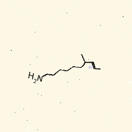 C/C=C/C(C)CCCCCCN